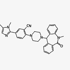 Cc1cnc(-c2ccc(N3CCN(C4c5ccccc5C(=O)N(C)c5ccccc54)CC3)c(C#N)c2)n1C